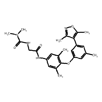 Cc1cc(Oc2c(C)cc(NC(=O)CNC(=O)N(C)C)cc2C)cc(-c2c(C)noc2C)c1